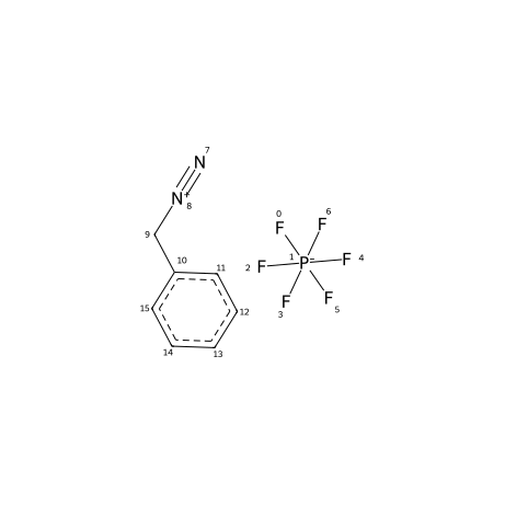 F[P-](F)(F)(F)(F)F.N#[N+]Cc1ccccc1